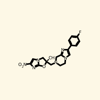 C[C@]1(CN2CCn3cc(-c4ccc(F)cc4)nc3C2)Cn2cc([N+](=O)[O-])nc2O1